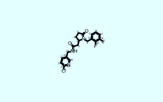 O=C(CC1CCC(=O)N1Cc1cccc(F)c1F)NCc1ccc(Cl)nc1